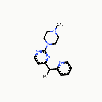 CN1CCN(c2nccc(C(C#N)c3ccccn3)n2)CC1